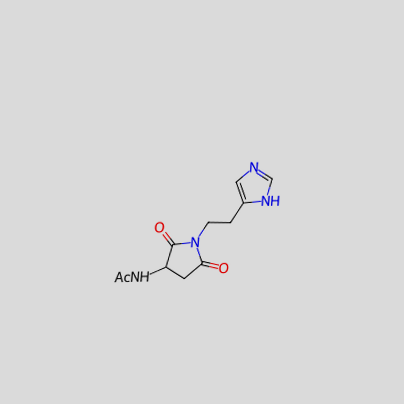 CC(=O)NC1CC(=O)N(CCc2cnc[nH]2)C1=O